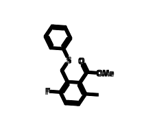 COC(=O)c1c(C)ccc(F)c1CSc1ccccc1